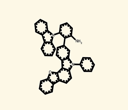 Nc1cccc(-n2c3ccccc3c3ccccc32)c1-c1ccc2c3c4oc5ccccc5c4ccc3n(-c3ccccc3)c2c1